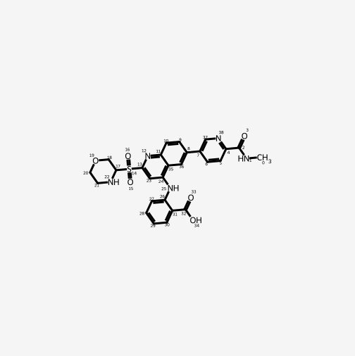 CNC(=O)c1ccc(-c2ccc3nc(S(=O)(=O)C4COCCN4)cc(Nc4ccccc4C(=O)O)c3c2)cn1